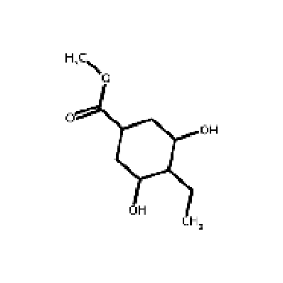 CCC1C(O)CC(C(=O)OC)CC1O